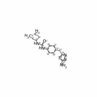 CCC(CC)NC(=O)Nc1ccc(Cc2nnc(N)s2)cc1